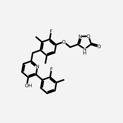 Cc1cccc(-c2nc(Cc3c(C)cc(OCc4noc(=O)[nH]4)c(F)c3C)ccc2O)c1F